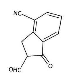 N#Cc1cccc2c1CC(C=O)C2=O